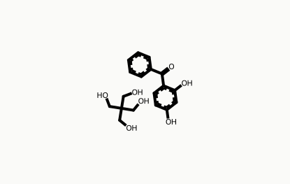 O=C(c1ccccc1)c1ccc(O)cc1O.OCC(CO)(CO)CO